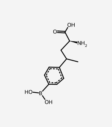 CC(C[C@H](N)C(=O)O)c1ccc(B(O)O)cc1